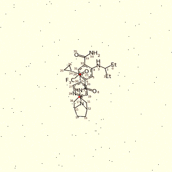 CCC(CC)Nc1cc(C(=O)NC2CC3CCC(C2)N3c2ccc(C(=O)C3CC3)cn2)c(C(F)(F)F)cc1C(N)=O